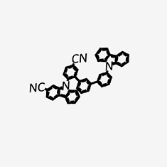 N#Cc1ccc(-n2c3ccccc3c3ccc(C#N)cc32)c(-c2cccc(-c3cccc(-n4c5ccccc5c5ccccc54)c3)c2)c1